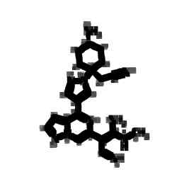 CN/C(N)=C(\C=N)c1cn2nccc2c(-c2cnn([C@]3(CC#N)CC[C@H](N)CC3)c2)n1